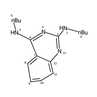 CCCCNc1nc(NCCCC)c2ccccc2n1